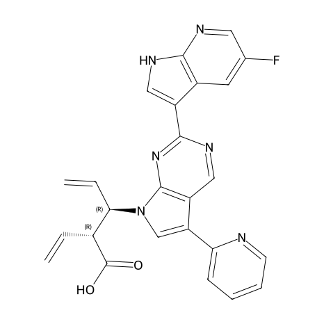 C=C[C@H]([C@@H](C=C)C(=O)O)n1cc(-c2ccccn2)c2cnc(-c3c[nH]c4ncc(F)cc34)nc21